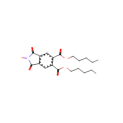 CCCCCCCCCCCCCCOC(=O)c1cc2c(cc1C(=O)OCCCCCCCCCCCCCC)C(=O)N(O)C2=O